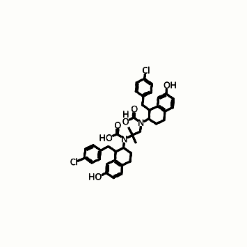 CC(C)(CN(C(=O)O)C1CCc2ccc(O)cc2C1Cc1ccc(Cl)cc1)N(C(=O)O)C1CCc2ccc(O)cc2C1Cc1ccc(Cl)cc1